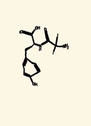 NC(I)(I)C(=O)N[C@@H](Cc1ccc(O)cc1)C(=O)O